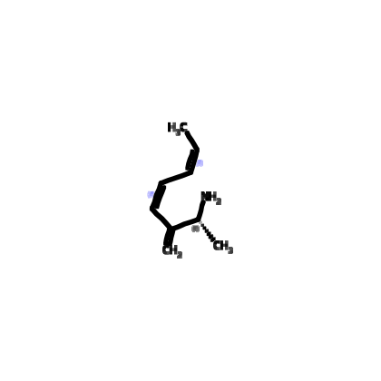 C=C(/C=C\C=C/C)[C@@H](C)N